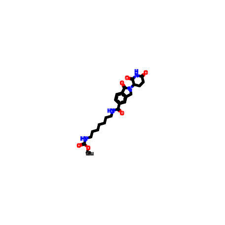 CC(C)(C)OC(=O)NCCCCCCCNC(=O)c1ccc2c(c1)CN(C1CCC(=O)NC1=O)C2=O